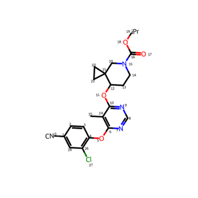 [C-]#[N+]c1ccc(Oc2ncnc(OC3CCN(C(=O)OC(C)C)CC34CC4)c2C)c(Cl)c1